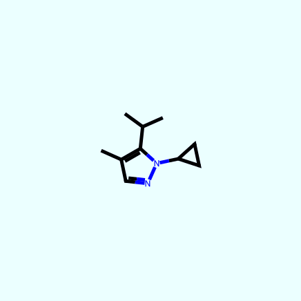 Cc1cnn(C2CC2)c1C(C)C